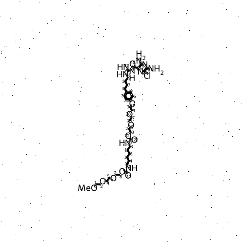 COCCOCCOCCOC(=O)NCCCCCCNC(=O)OCCOCCOCCOc1ccc(CCCCNC(=N)NC(=O)c2nc(Cl)c(N)nc2N)cc1